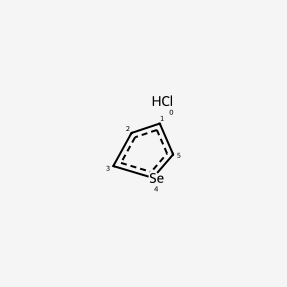 Cl.c1cc[se]c1